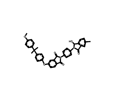 COc1ccc(C(C)(C)c2ccc(Oc3ccc4c(c3)C(=O)N(c3ccc(N5C(=O)c6cc(C)ccc6C5O)cc3)C4=O)cc2)cc1